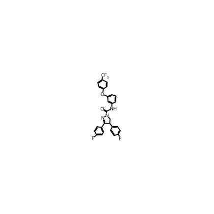 O=C(Nc1cccc(Oc2ccc(C(F)(F)F)cc2)c1)N1CC(c2ccc(F)cc2)C(c2ccc(F)cc2)=N1